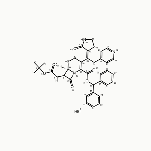 Br.CC(C)(C)OC(=O)N[C@@H]1C(=O)N2C(C(=O)OC(c3ccccc3)c3ccccc3)=C(C(Cc3ccncc3)=C3CCNC3=O)CS[C@H]12